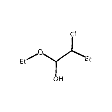 CCOC(O)C(Cl)CC